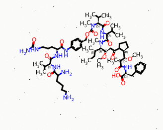 CC[C@H](C)[C@@H]([C@@H](CC(=O)C1CCC[C@H]1[C@H](OC)[C@@H](C)C(=O)N[C@@H](Cc1ccccc1)C(=O)O)OC)N(C)C(=O)[C@@H](NC(=O)[C@H](C(C)C)N(C)C(=O)OCc1ccc(NC(=O)C(CCCNC(N)=O)NC(=O)[C@@H](NC(=O)C(N)CCCCN)C(C)C)cc1)C(C)C